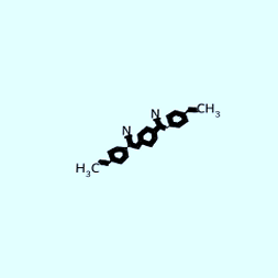 CCC[C@H]1CC[C@H](CC(C#N)C2CCC(CC(C#N)[C@H]3CC[C@H](CCC)CC3)CC2)CC1